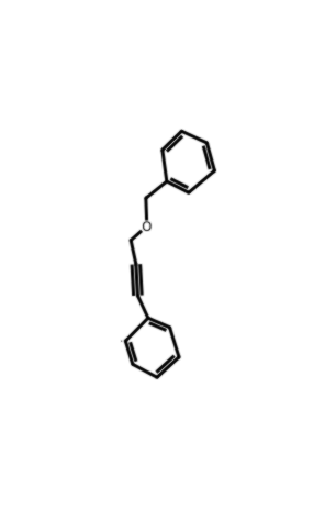 C(#Cc1[c]cccc1)COCc1ccccc1